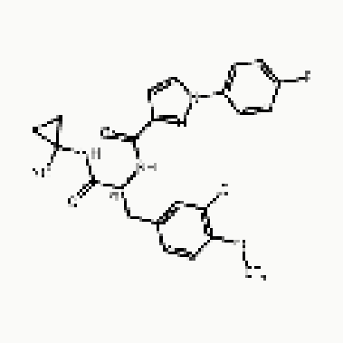 N#CC1(NC(=O)[C@H](Cc2ccc(OC(F)(F)F)c(Cl)c2)NC(=O)c2ccn(-c3ccc(F)cc3)n2)CC1